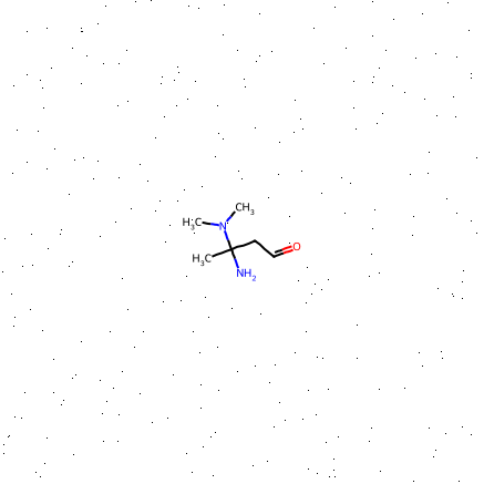 CN(C)C(C)(N)CC=O